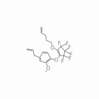 C=CCCCOC1=C(Oc2ccc(CC=C)cc2OC)C(F)(F)C(F)(F)C1(F)F